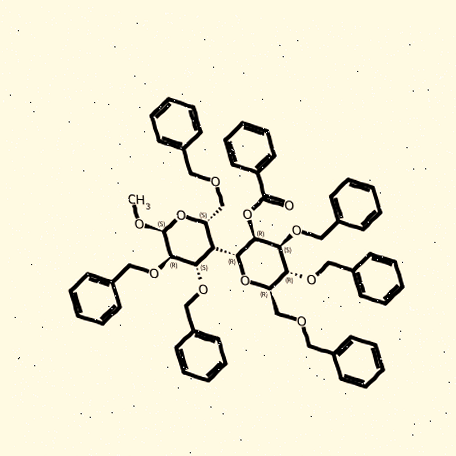 CO[C@H]1O[C@H](COCc2ccccc2)C([C@H]2O[C@H](COCc3ccccc3)[C@@H](OCc3ccccc3)[C@H](OCc3ccccc3)[C@@H]2OC(=O)c2ccccc2)[C@H](OCc2ccccc2)[C@H]1OCc1ccccc1